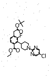 CCOC(=O)c1ccc(CC(=O)OC(C)(C)C)c(F)c1C1CCN(c2ncc(Cl)cn2)CC1